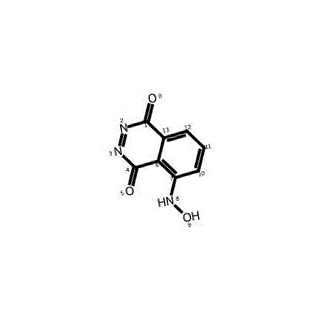 O=C1N=NC(=O)c2c(NO)cccc21